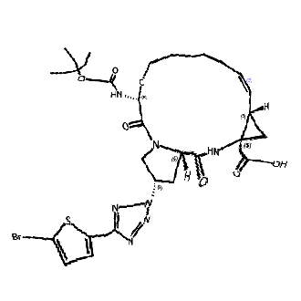 CC(C)(C)OC(=O)N[C@@H]1CCCCC/C=C\[C@@H]2C[C@]2(C(=O)O)NC(=O)[C@@H]2C[C@H](n3nnc(-c4ccc(Br)s4)n3)CN2C1=O